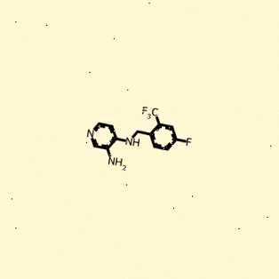 Nc1cnccc1NCc1ccc(F)cc1C(F)(F)F